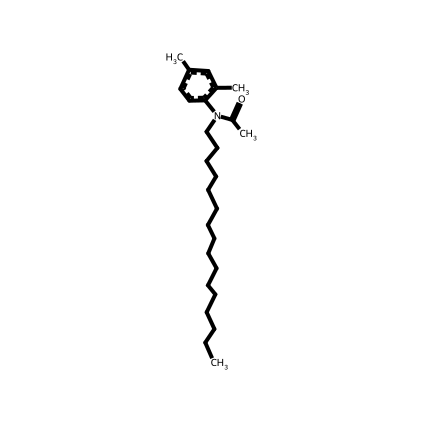 CCCCCCCCCCCCCCCCN(C(C)=O)c1ccc(C)cc1C